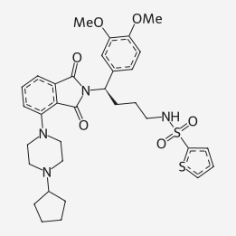 COc1ccc([C@@H](CCCNS(=O)(=O)c2cccs2)N2C(=O)c3cccc(N4CCN(C5CCCC5)CC4)c3C2=O)cc1OC